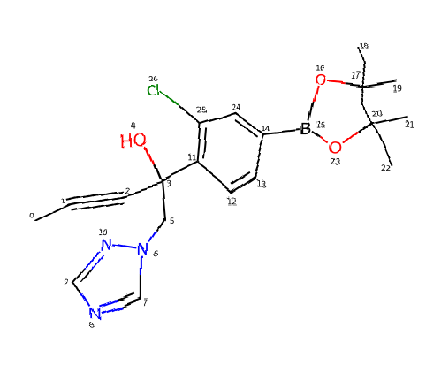 CC#CC(O)(Cn1cncn1)c1ccc(B2OC(C)(C)C(C)(C)O2)cc1Cl